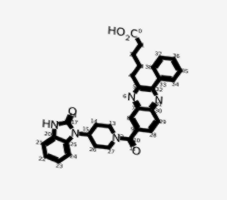 O=C(O)CCCCc1nc2cc(C(=O)N3CCC(n4c(=O)[nH]c5ccccc54)CC3)ccc2nc1-c1ccccc1